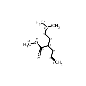 C=CCC(CCN(C)C)C(=O)OC